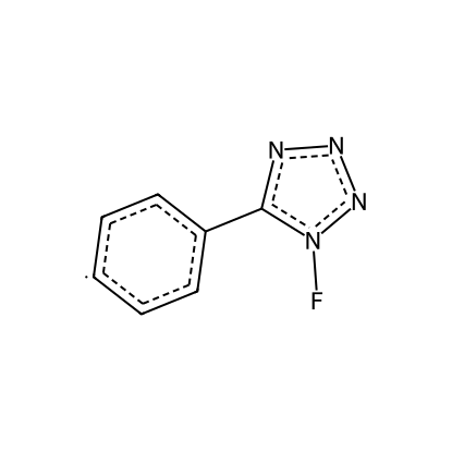 Fn1nnnc1-c1cc[c]cc1